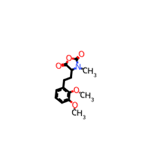 COc1cccc(CCC2C(=O)OC(=O)N2C)c1OC